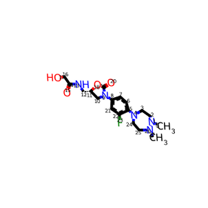 CN1CCN(c2ccc(N3C[C@H](CNC(=O)CO)OC3=O)cc2F)CCN1C